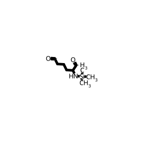 C[Si](C)(C)NC([C]=O)CCC[C]=O